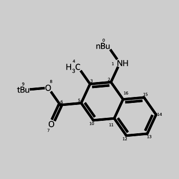 CCCCNc1c(C)c(C(=O)OC(C)(C)C)cc2ccccc12